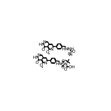 COc1nc(-c2ccc(CNN[SH](=O)=O)cc2)cc2cn[nH]c(=O)c12.COc1nc(-c2ccc(CNS(=O)(=O)N(C(=O)O)C(C)(C)C)cc2)cc2cn[nH]c(=O)c12